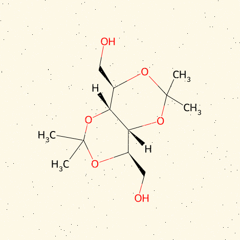 CC1(C)O[C@H]2[C@H](OC(C)(C)O[C@@H]2CO)[C@@H](CO)O1